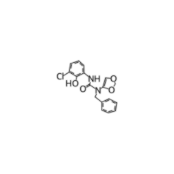 O=C(Nc1cccc(Cl)c1O)N(Cc1ccccc1)C1=COCO1